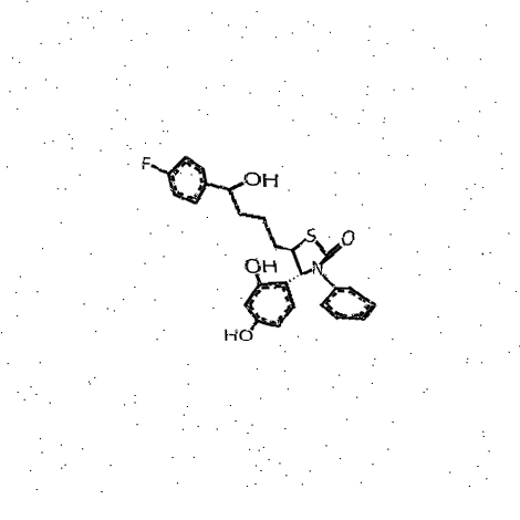 O=C1S[C@H](CCCC(O)c2ccc(F)cc2)[C@@H](c2ccc(O)cc2O)N1c1ccccc1